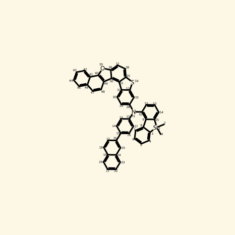 C[Si]1(C)c2ccccc2-c2c(N(c3ccc(-c4ccc5ccccc5c4)cc3)c3ccc4c(c3)sc3ccc5oc6c7ccccc7ccc6c5c34)cccc21